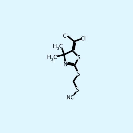 CC1(C)N=C(SCSC#N)SC1=C(Cl)Cl